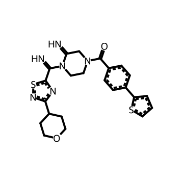 N=C1CN(C(=O)c2ccc(-c3cccs3)cc2)CCN1C(=N)c1nc(C2CCOCC2)ns1